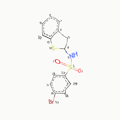 O=S(=O)(NC1Cc2ccccc2S1)c1ccc(Br)cc1